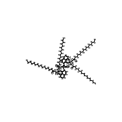 CCCCCCCCCCCCCCCC(=O)OCC1(COC(=O)CCCCCCCCCCCCCCC)Nc2cccc3ccc(-c4c(O)[c+](-c5ccc6cccc7c6c5NC(COC(=O)CCCCCCCCCCCCCCC)(COC(=O)CCCCCCCCCCCCCCC)N7)c4=O)c(c23)N1